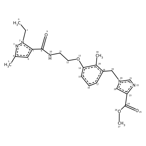 CCn1nc(C)cc1C(=O)NCCOc1cccc(Cn2cnc(C(=O)OC)c2)c1C